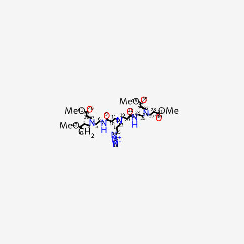 C=C(CCN(CCNC(=O)CCN(CCCN=[N+]=[N-])CCC(=O)NCCN(CCC(=O)OC)CCC(=O)OC)CCC(=O)OC)OC